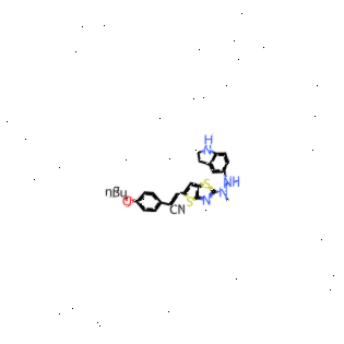 CCCCOc1ccc(/C(C#N)=C/c2cc3sc(N(C)Nc4ccc5c(c4)CCN5)nc3s2)cc1